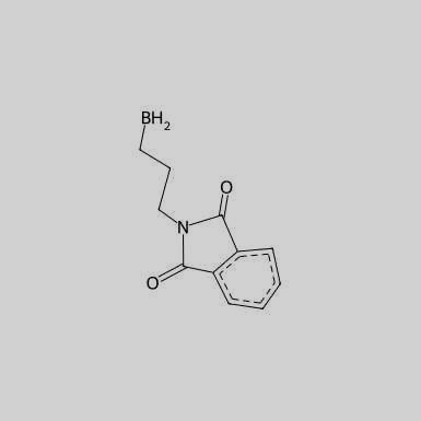 BCCCN1C(=O)c2ccccc2C1=O